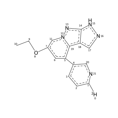 [2H]c1ccc(-c2cc(OCC)cn3nc4[nH]ncc4c23)cn1